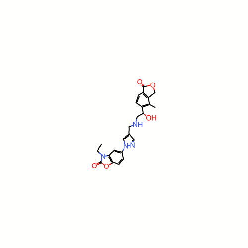 CCn1c(=O)oc2ccc(-n3cc(CNC[C@H](O)c4ccc5c(c4C)COC5=O)cn3)cc21